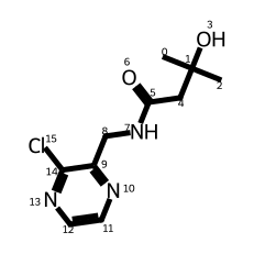 CC(C)(O)CC(=O)NCc1nccnc1Cl